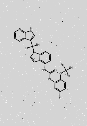 [2H]C([2H])([2H])Oc1ccc(F)cc1NC(=O)Nc1cccc2c1ccn2C([2H])([2H])c1c[nH]c2ncccc12